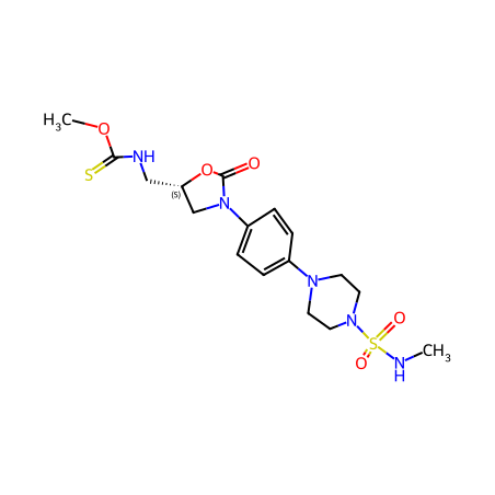 CNS(=O)(=O)N1CCN(c2ccc(N3C[C@H](CNC(=S)OC)OC3=O)cc2)CC1